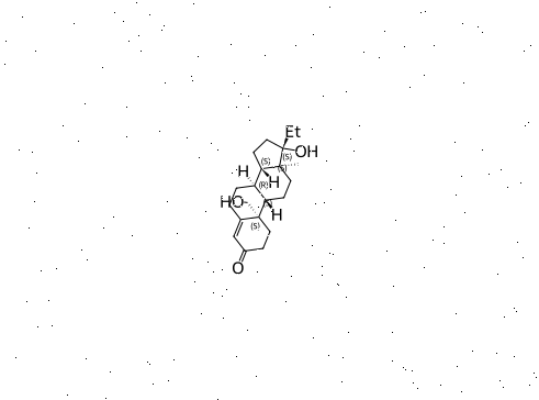 CC[C@]1(O)CC[C@H]2[C@@H]3CCC4=CC(=O)CC[C@]4(CO)[C@H]3CC[C@@]21C